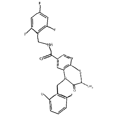 CC1Sc2ncc(C(=O)NCc3c(F)cc(F)cc3F)cc2N(Cc2c(F)cccc2Cl)C1=O